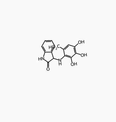 O=C(O)c1cc(O)c(O)c(O)c1NC1C(=O)Nc2ccccc21